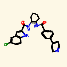 O=C(N[C@@H]1CCCC[C@@H]1NC(=O)c1cc2cc(Cl)ccc2[nH]1)c1ccc(-c2ccncc2)cc1